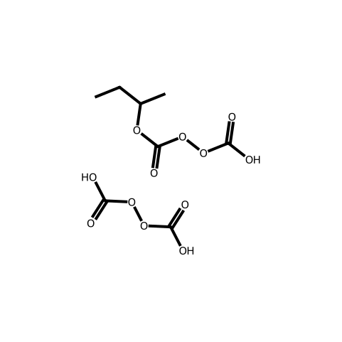 CCC(C)OC(=O)OOC(=O)O.O=C(O)OOC(=O)O